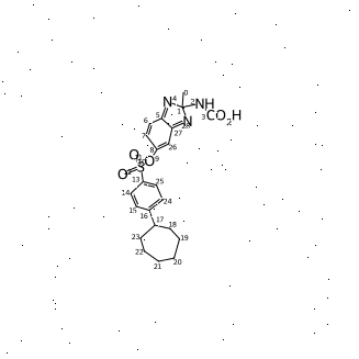 CC1(NC(=O)O)N=c2ccc(OS(=O)(=O)c3ccc(C4CCCCCC4)cc3)cc2=N1